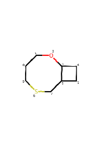 C1COC2CCC2CSC1